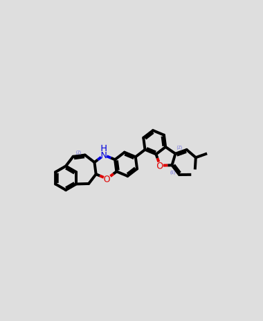 C/C=c1/oc2c(-c3ccc4c(c3)NC3/C=C\c5cccc(c5)CC3O4)cccc2/c1=C/C(C)C